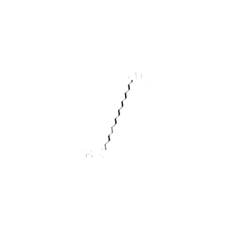 C=CC=CC=CC=CC=CC=CCCC=CCCC